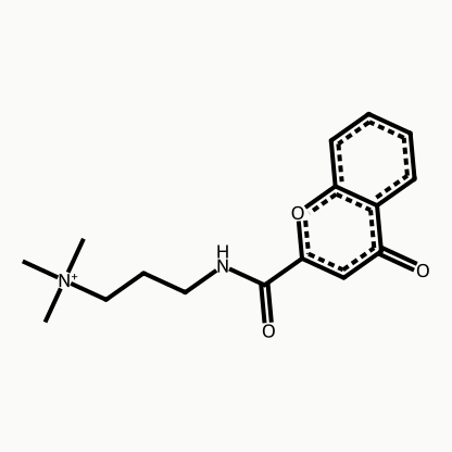 C[N+](C)(C)CCCNC(=O)c1cc(=O)c2ccccc2o1